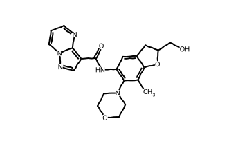 Cc1c2c(cc(NC(=O)c3cnn4cccnc34)c1N1CCOCC1)CC(CO)O2